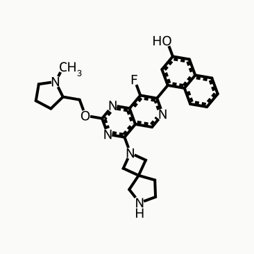 CN1CCCC1COc1nc(N2CC3(CCNC3)C2)c2cnc(-c3cc(O)cc4ccccc34)c(F)c2n1